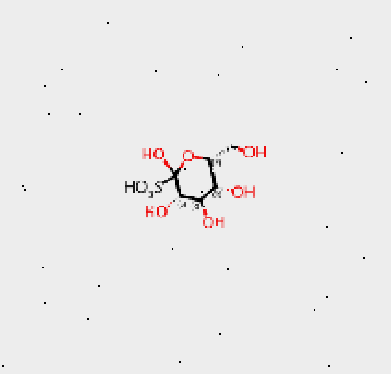 O=S(=O)(O)C1(O)O[C@H](CO)[C@H](O)[C@@H](O)[C@@H]1O